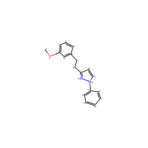 COc1cccc(CCc2ccn(-c3ccccc3)n2)c1